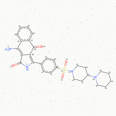 NC1=C2C(=O)NC(c3ccc(S(=O)(=O)N4CCC(N5CCCCC5)CC4)cc3)=C2C(=O)c2ccccc21